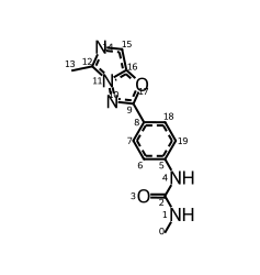 CNC(=O)Nc1ccc(-c2nn3c(C)ncc3o2)cc1